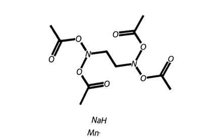 CC(=O)ON(CCN(OC(C)=O)OC(C)=O)OC(C)=O.[Mn].[NaH]